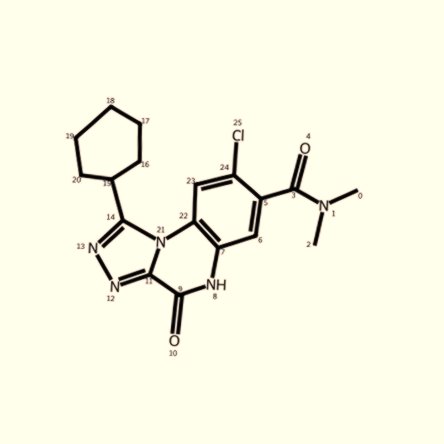 CN(C)C(=O)c1cc2[nH]c(=O)c3nnc(C4CCCCC4)n3c2cc1Cl